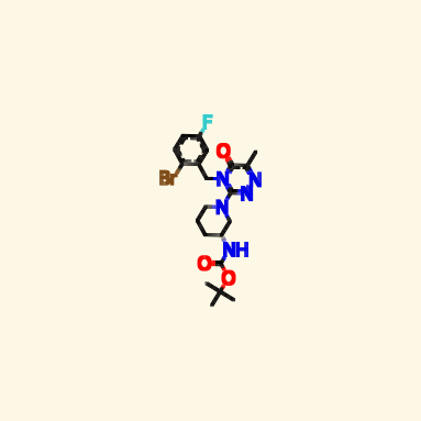 Cc1nnc(N2CCC[C@@H](NC(=O)OC(C)(C)C)C2)n(Cc2cc(F)ccc2Br)c1=O